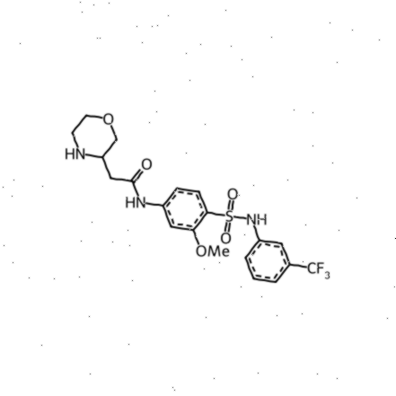 COc1cc(NC(=O)CC2COCCN2)ccc1S(=O)(=O)Nc1cccc(C(F)(F)F)c1